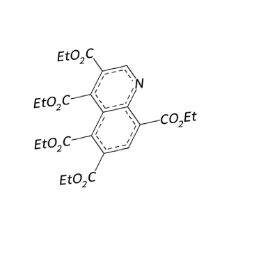 CCOC(=O)c1cnc2c(C(=O)OCC)cc(C(=O)OCC)c(C(=O)OCC)c2c1C(=O)OCC